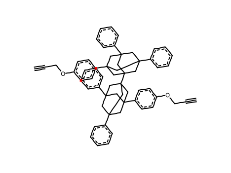 C#CCOc1ccc(C23CC4(c5ccccc5)CC(c5ccccc5)(C2)CC(C25CC6(c7ccccc7)CC(c7ccccc7)(CC(c7ccc(OCC#C)cc7)(C6)C2)C5)(C4)C3)cc1